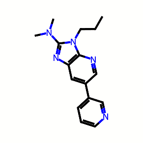 CCCn1c(N(C)C)nc2cc(-c3cccnc3)cnc21